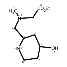 CCOC(=O)CN(C)CC1CC(O)CCN1